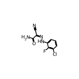 N#CC(=NNc1cccc(Cl)c1F)C(N)=O